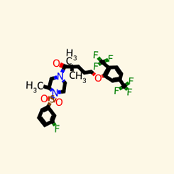 CC1CN(C(=O)C(C)(C)CCCOc2cc(C(F)(F)F)ccc2C(F)(F)F)CCN1S(=O)(=O)c1cccc(F)c1